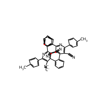 [C-]#[N+]c1c(-c2ccc(C)cc2)nc(-c2ccccc2)c(C#N)c1-c1ccccc1-c1c(C#N)c(-c2ccccc2)nc(-c2ccc(C)cc2)c1C#N